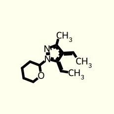 C/C=c1/c(C)nn(C2CCCCO2)/c1=C/C